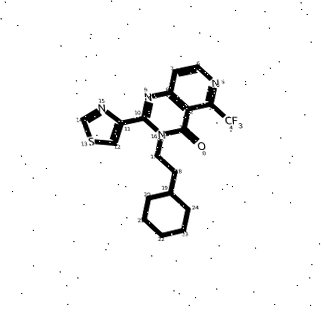 O=c1c2c(C(F)(F)F)nccc2nc(-c2cscn2)n1CCC1CCCCC1